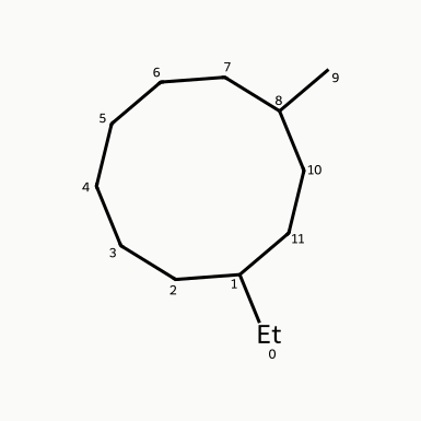 CCC1CCCCCCC(C)CC1